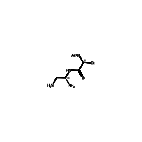 CC[C@H](NC(C)=O)C(=O)N[C@H](N)CN